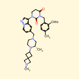 COc1cc(C)ccc1CN1C(=O)CCN(c2cnn3ccc(CN4CCN(C5CC6(C5)CN(C)C6)[C@@H](C)C4)cc23)C1=O